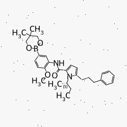 CC[C@H](C)n1c(CCCc2ccccc2)ccc1C(=O)Nc1cc(B2OCC(C)(C)CO2)ccc1OC